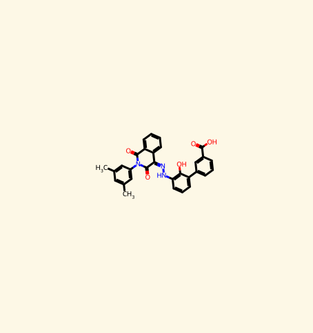 Cc1cc(C)cc(N2C(=O)/C(=N\Nc3cccc(-c4cccc(C(=O)O)c4)c3O)c3ccccc3C2=O)c1